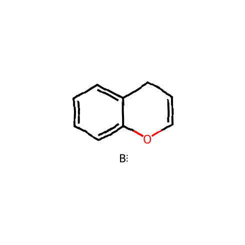 C1=COc2ccccc2C1.[B]